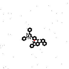 Cc1ccc2ccccc2c1-c1ccc2c(c1C(C)c1ccc(-c3cc(-c4ccccc4)nc(-c4ccccc4)n3)cc1)C(C)(C)c1ccccc1-2